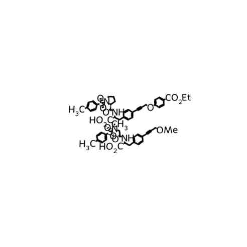 CCOC(=O)c1ccc(OCC#Cc2ccc(C[C@H](NC(=O)[C@@H]3CCCN3S(=O)(=O)c3ccc(C)cc3)C(=O)O)cc2)cc1.COCC#Cc1ccc(C[C@H](NC(=O)CN(C)S(=O)(=O)c2ccc(C)cc2)C(=O)O)cc1